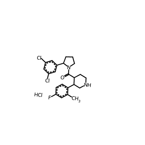 Cc1cc(F)ccc1C1CNCCC1C(=O)N1CCCC1c1cc(Cl)cc(Cl)c1.Cl